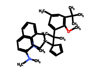 COc1c(C(C)(C)C)cc(C)cc1C(C)(C)[C]1([Sc]([CH2]c2ccccc2N(C)C)[CH2]c2ccccc2N(C)C)C=CC=C1